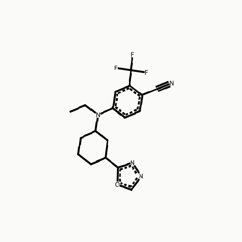 CCN(c1ccc(C#N)c(C(F)(F)F)c1)C1CCCC(c2nnco2)C1